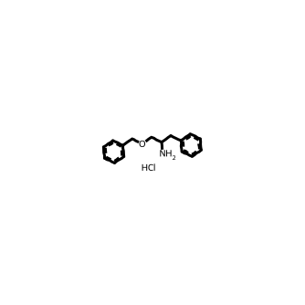 Cl.NC(COCc1ccccc1)Cc1ccccc1